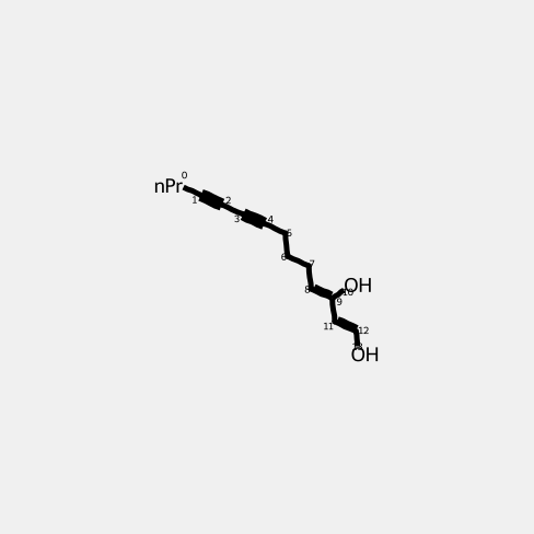 CCCC#CC#CCCCC=C(O)C=CO